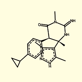 Cc1n[nH]c(C)c1[C@@]1(C)NC(=N)N(C)C(=O)[C@@H]1c1ccc(C2CC2)cc1